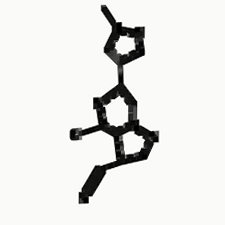 Cn1cc(-c2cn3ncc(C#N)c3c(Cl)n2)cn1